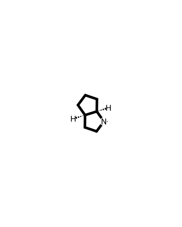 C1C[C@@H]2CC[N][C@@H]2C1